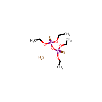 CCOP(=S)(OCC)OP(=S)(OCC)OCC.S